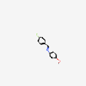 COc1ccc(/N=C/c2ccc(F)cc2)cc1